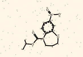 CC(C)OC(=O)N1CCCOc2cc([N+](=O)[O-])ccc21